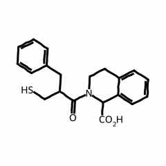 O=C(O)C1c2ccccc2CCN1C(=O)C(CS)Cc1ccccc1